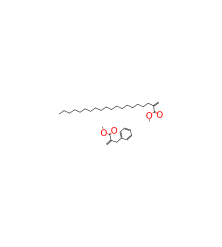 C=C(CCCCCCCCCCCCCCCCCC)C(=O)OC.C=C(Cc1ccccc1)C(=O)OC